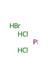 Br.Cl.Cl.[P]